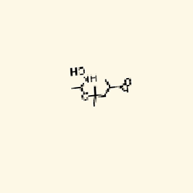 CC(NO)OC(C)(C)CC(C)C1CO1